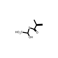 C=C(C)C(=O)SC(O)C(=O)O